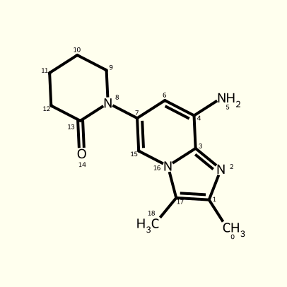 Cc1nc2c(N)cc(N3CCCCC3=O)cn2c1C